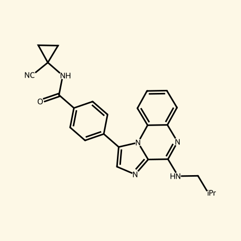 CC(C)CNc1nc2ccccc2n2c(-c3ccc(C(=O)NC4(C#N)CC4)cc3)cnc12